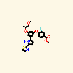 COC[C@H](C)Oc1cc(Oc2ccc(C(=O)OC)cc2F)cc(-c2ccc(-c3nccs3)[nH]2)c1